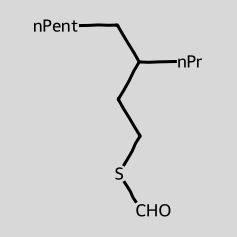 CCCCCCC(CCC)CCSC=O